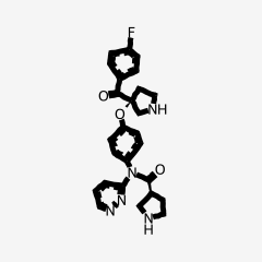 O=C([C@H]1CCNC1)N(c1ccc(O[C@]2(C(=O)c3ccc(F)cc3)CCNC2)cc1)c1cccnn1